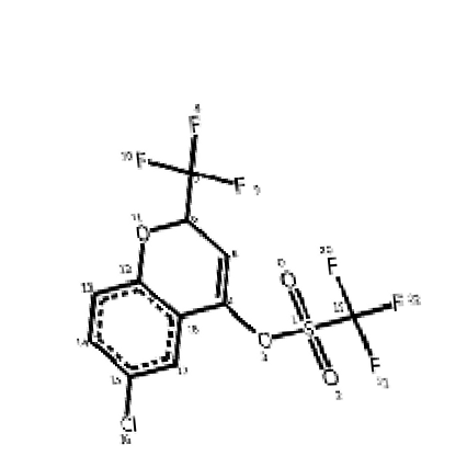 O=S(=O)(OC1=CC(C(F)(F)F)Oc2ccc(Cl)cc21)C(F)(F)F